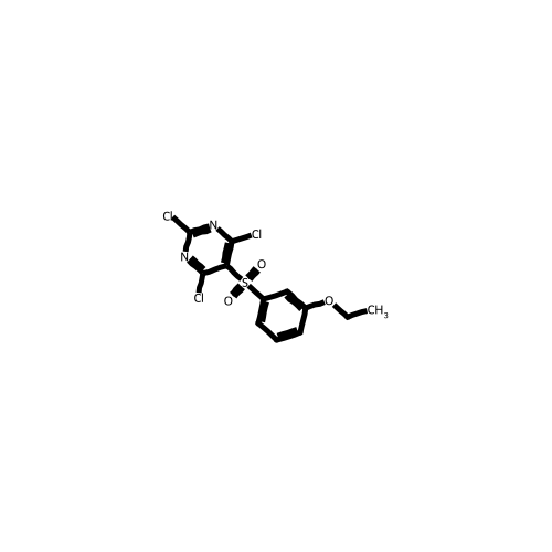 CCOc1cccc(S(=O)(=O)c2c(Cl)nc(Cl)nc2Cl)c1